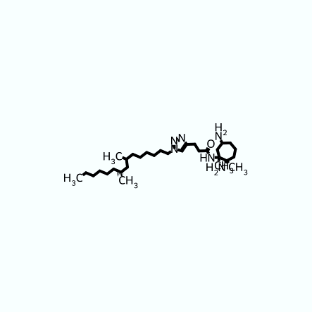 CCCCCC[C@@H](C)CC(C)CCCCCCn1cc(CCC(=O)NC2(C)CC(N)CCCC2(C)N)nn1